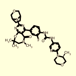 C[C@H]1COCCN1c1ccc(NC(=O)Nc2ccc(-c3nc(N4C5CCC4COC5)nc4c3C(=O)N(C)CC(C)(C)O4)cc2F)cn1